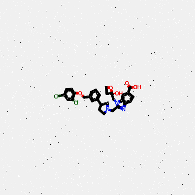 O=C(O)c1ccc2nc(CN3CCC(c4cccc(COc5ccc(Cl)cc5Cl)c4)C3)n(C[C@@]3(O)CCO3)c2c1